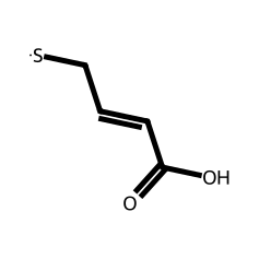 O=C(O)C=CC[S]